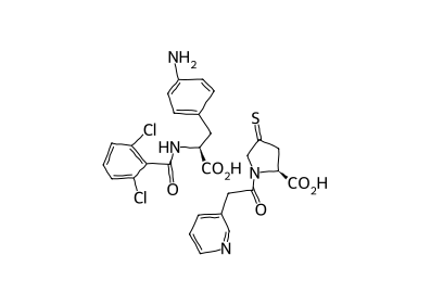 Nc1ccc(C[C@H](NC(=O)c2c(Cl)cccc2Cl)C(=O)O)cc1.O=C(O)[C@@H]1CC(=S)CN1C(=O)Cc1cccnc1